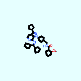 COc1ccccc1C(=O)NCc1ccc(-n2nc(C3CCCC3)c3ccnc(N=C(c4ccccc4)c4ccccc4)c32)cc1